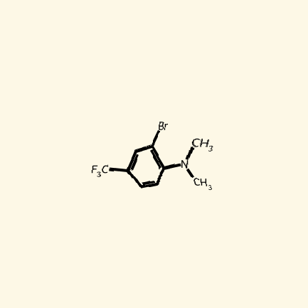 CN(C)c1ccc(C(F)(F)F)cc1Br